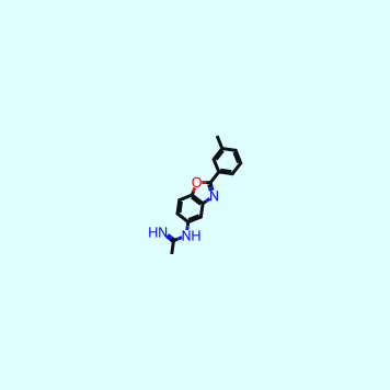 CC(=N)Nc1ccc2oc(-c3cccc(C)c3)nc2c1